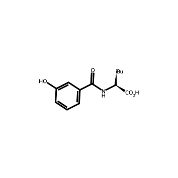 CC[C@H](C)[C@H](NC(=O)c1cccc(O)c1)C(=O)O